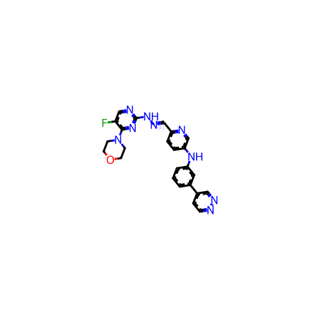 Fc1cnc(N/N=C/c2ccc(Nc3cccc(-c4ccnnc4)c3)cn2)nc1N1CCOCC1